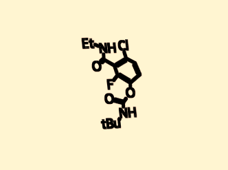 CCNC(=O)c1c(Cl)ccc(OC(=O)NC(C)(C)C)c1F